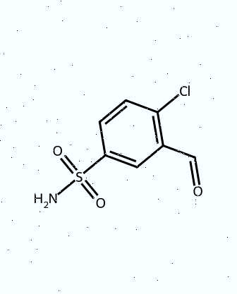 NS(=O)(=O)c1ccc(Cl)c(C=O)c1